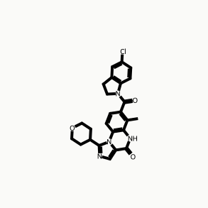 Cc1c(C(=O)N2CCc3cc(Cl)ccc32)ccc2c1[nH]c(=O)c1cnc(C3CCOCC3)n12